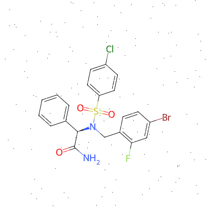 NC(=O)[C@@H](c1ccccc1)N(Cc1ccc(Br)cc1F)S(=O)(=O)c1ccc(Cl)cc1